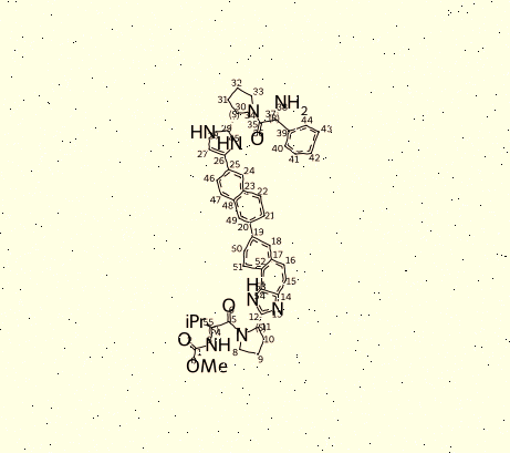 COC(=O)N[C@H](C(=O)N1CCC[C@H]1c1nc2ccc3cc(-c4ccc5cc(C6=CNC([C@@H]7CCCN7C(=O)[C@H](N)c7ccccc7)N6)ccc5c4)ccc3c2[nH]1)C(C)C